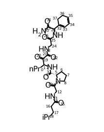 CCCC(NC(=O)[C@@H]1CCCN1C(=O)CNC(=O)CCC(C)C)C(=O)C(=O)NCC(=O)NC(C(N)=O)C1=CC=CCC1